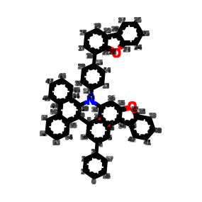 c1ccc(-c2cccc(-c3c(N(c4ccc(-c5cccc6c5oc5ccccc56)cc4)c4ccc5c(c4)oc4ccccc45)c4ccccc4c4ccccc34)c2)cc1